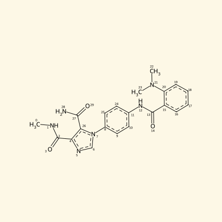 CNC(=O)c1ncn(-c2ccc(NC(=O)c3ccccc3N(C)C)cc2)c1C(N)=O